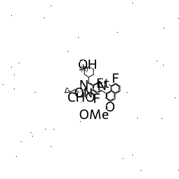 CCc1c(F)ccc2cc(OCOC)cc(-c3ncc4c(C5CCC[C@@](C)(O)C5)nc(OCC5(C=O)CC5)nc4c3F)c12